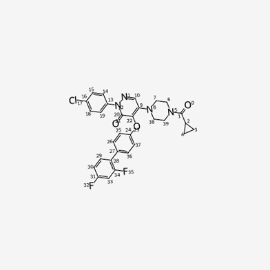 O=C(C1CC1)N1CCN(c2cnn(-c3ccc(Cl)cc3)c(=O)c2Oc2ccc(-c3ccc(F)cc3F)cc2)CC1